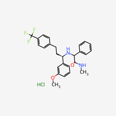 CNC(=O)C(N[C@H](CCc1ccc(C(F)(F)F)cc1)c1cccc(OC)c1)c1ccccc1.Cl